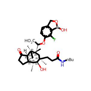 CCCCNC(=O)CC[C@]1(C)C[C@@H](C(Oc2ccc3c(c2F)B(O)OC3)C(=O)O)[C@@]2(C)[C@H](C)CC[C@]3(CCC(=O)[C@H]32)[C@@H](C)[C@@H]1O